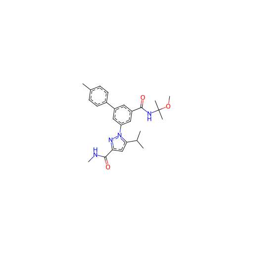 CNC(=O)c1cc(C(C)C)n(-c2cc(C(=O)NC(C)(C)OC)cc(-c3ccc(C)cc3)c2)n1